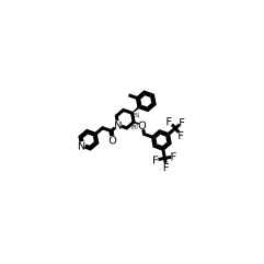 Cc1ccccc1[C@@H]1CCN(C(=O)Cc2ccncc2)C[C@@H]1OCc1cc(C(F)(F)F)cc(C(F)(F)F)c1